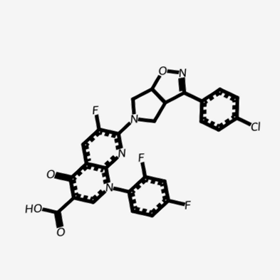 O=C(O)c1cn(-c2ccc(F)cc2F)c2nc(N3CC4ON=C(c5ccc(Cl)cc5)C4C3)c(F)cc2c1=O